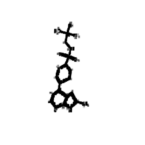 Cc1cc2c(-c3ccc(S(=O)(=O)NCC(C)(C)O)nc3)ccnc2[nH]1